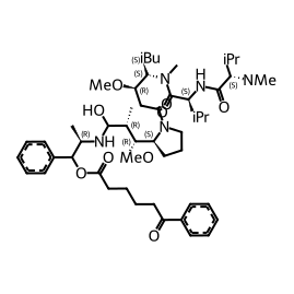 CC[C@H](C)[C@@H]([C@@H](CC(=O)N1CCC[C@H]1[C@H](OC)[C@@H](C)C(O)N[C@H](C)C(OC(=O)CCCCC(=O)c1ccccc1)c1ccccc1)OC)N(C)C(=O)[C@@H](NC(=O)[C@@H](NC)C(C)C)C(C)C